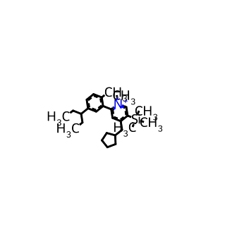 CCC(CC)c1ccc(C)c(-c2cc(CC3CCCC3)c([Si](C)(C)C)c[n+]2C)c1